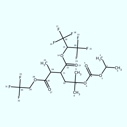 CC(C)OC(=O)OC(C)(C)CC(C(=O)OC(C(F)(F)F)C(F)(F)F)C(C)C(=O)OCC(F)(F)F